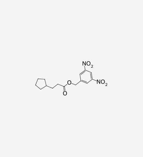 O=C(CCC1CCCC1)OCc1cc([N+](=O)[O-])cc([N+](=O)[O-])c1